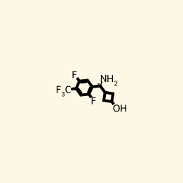 N[C@@H](c1cc(F)c(C(F)(F)F)cc1F)C1CC(O)C1